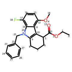 CCOC(=O)C1CCCc2c1c1c(OC)ccc(F)c1n2Cc1ccccc1